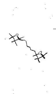 CC1(C)OC(C)(CCCCCCC2(C)OC(C)(C)C2(C)C)C1(C)C